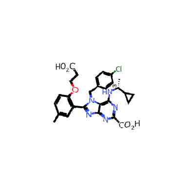 Cc1ccc(OCCC(=O)O)c(-c2nc3nc(C(=O)O)nc(N[C@H](C)C4CC4)c3n2Cc2ccc(Cl)cc2)c1